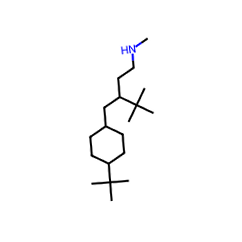 CNCCC(CC1CCC(C(C)(C)C)CC1)C(C)(C)C